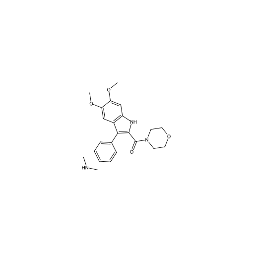 CNC.COc1cc2[nH]c(C(=O)N3CCOCC3)c(-c3ccccc3)c2cc1OC